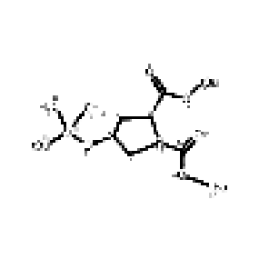 CC(C)(C)OC(=O)[C@@H]1C[C@H](O[Si](C)(C)C(C)(C)C)CN1C(=O)OC(C)(C)C